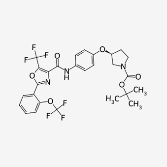 CC(C)(C)OC(=O)N1CC[C@H](Oc2ccc(NC(=O)c3nc(-c4ccccc4OC(F)(F)F)oc3C(F)(F)F)cc2)C1